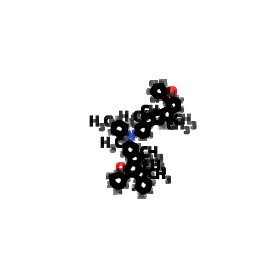 Cc1ccc(N(c2ccc3c(c2)C(C)(C)c2c4c(c5c(oc6ccccc65)c2-3)-c2ccccc2C4(C)C)c2ccc3c(c2)C(C)(C)C2C=C4C(=CC32)C(C)(C)c2ccc3oc5ccccc5c3c24)c(C)c1